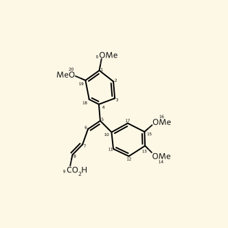 COc1ccc(C(=CC=CC(=O)O)c2ccc(OC)c(OC)c2)cc1OC